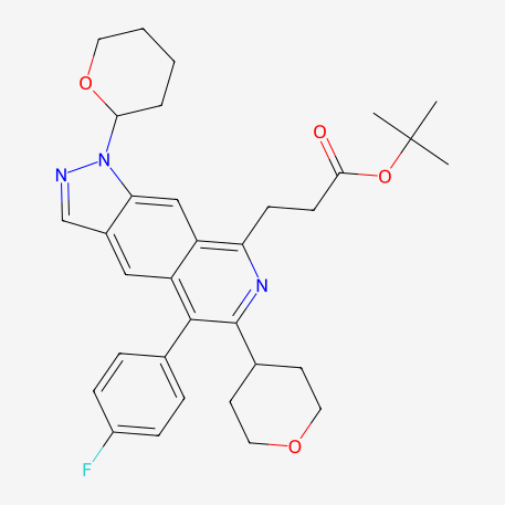 CC(C)(C)OC(=O)CCc1nc(C2CCOCC2)c(-c2ccc(F)cc2)c2cc3cnn(C4CCCCO4)c3cc12